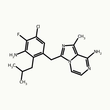 Cc1nc(Cc2cc(Cl)c(F)c(N)c2CC(C)C)n2ccnc(N)c12